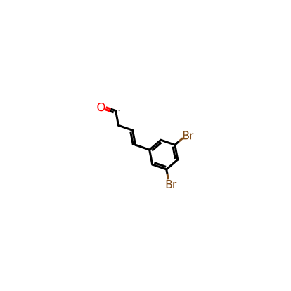 O=[C]CC=Cc1cc(Br)cc(Br)c1